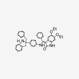 CCOc1cc2c(cc1OCC)/C(=C(/Nc1ccc(C(N)(Cc3ccccc3)Cc3ccccc3)cc1)c1ccccc1)C(=O)N2